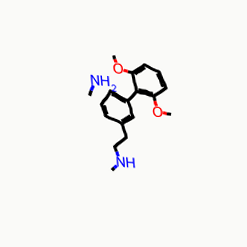 CN.CNCCc1cccc(-c2c(OC)cccc2OC)c1